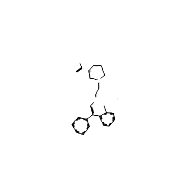 Cl.O=C(O)[C@@H]1CCCN(CCO/C=C(/c2ccccc2)c2ccccc2Cl)C1